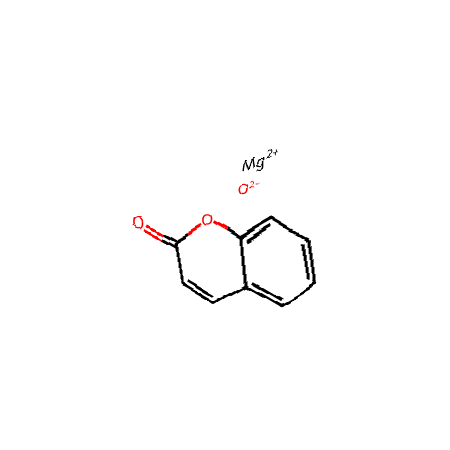 O=c1ccc2ccccc2o1.[Mg+2].[O-2]